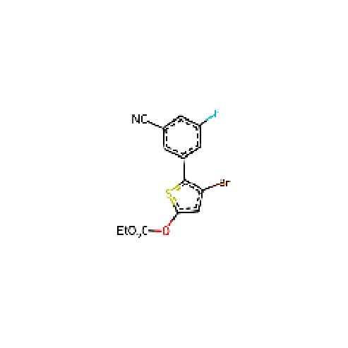 CCOC(=O)Oc1cc(Br)c(-c2cc(F)cc(C#N)c2)s1